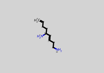 C=CCCC(N)C=CCCN